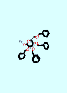 CC(C)OC1O[C@H](COCc2ccccc2)[C@@H](OCc2ccccc2)[C@H](OCc2ccccc2)[C@H]1OCc1ccccc1